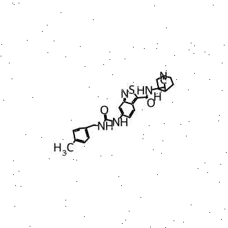 Cc1ccc(CNC(=O)Nc2ccc3c(C(=O)N[C@H]4CN5CCC4CC5)snc3c2)cc1